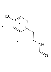 O=CN[CH]Cc1ccc(O)cc1